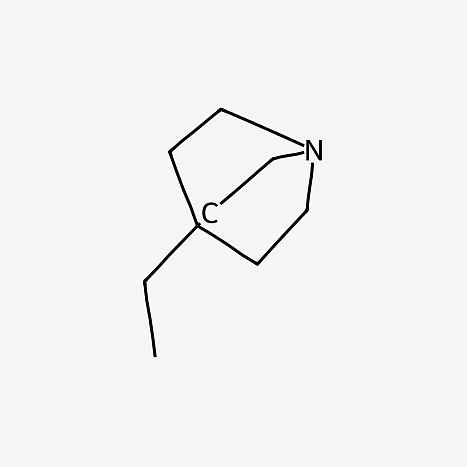 CCC12CCN(CC1)CC2